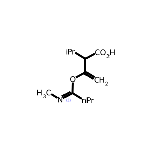 C=C(O/C(CCC)=N\C)C(C(=O)O)C(C)C